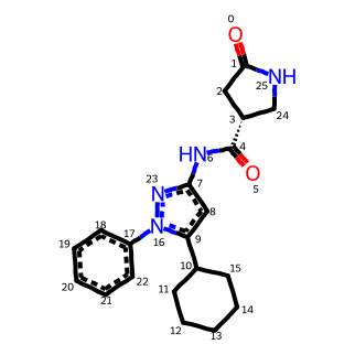 O=C1C[C@@H](C(=O)Nc2cc(C3CCCCC3)n(-c3ccccc3)n2)CN1